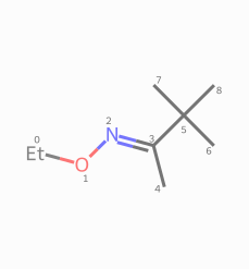 CCO/N=C(\C)C(C)(C)C